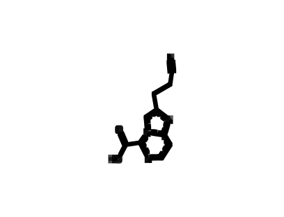 N#CCCc1cn2c(C(=O)O)nccc2n1